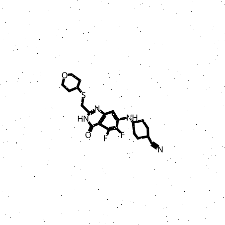 N#CC1CCC(Nc2cc3nc(CSC4CCOCC4)[nH]c(=O)c3c(F)c2F)CC1